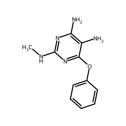 CNc1nc(N)c(N)c(Oc2ccccc2)n1